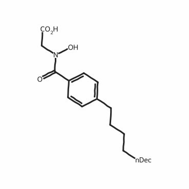 CCCCCCCCCCCCCCc1ccc(C(=O)N(O)CC(=O)O)cc1